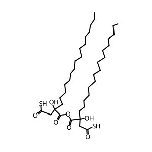 CCCCCCCCCCCCCCCCC(O)(CC(=O)S)C(=O)OC(=O)C(O)(CCCCCCCCCCCCCCCC)CC(=O)S